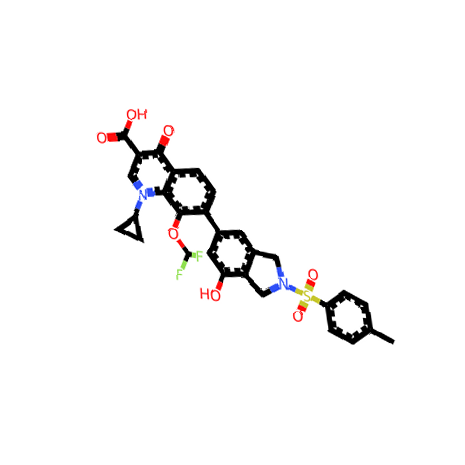 Cc1ccc(S(=O)(=O)N2Cc3cc(-c4ccc5c(=O)c(C(=O)O)cn(C6CC6)c5c4OC(F)F)cc(O)c3C2)cc1